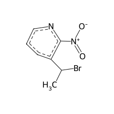 CC(Br)c1cccnc1[N+](=O)[O-]